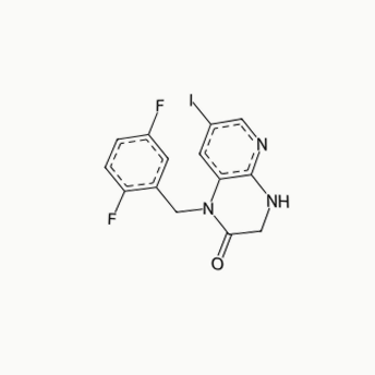 O=C1CNc2ncc(I)cc2N1Cc1cc(F)ccc1F